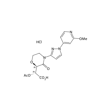 COc1cc(-n2ccc(N3CCO[C@H]([C@@H](OC(C)=O)C(=O)O)C3=O)n2)ccn1.Cl